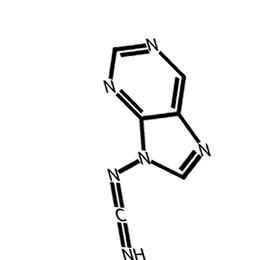 N=C=Nn1cnc2cncnc21